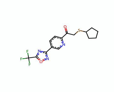 O=C(CSC1CCCC1)c1ccc(-c2noc(C(F)(F)F)n2)cn1